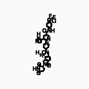 CN(Cc1ccc2c(c1F)CN(C1CCC(=O)NC1=O)C2=O)C1CCN(c2ncc(C(=O)Nc3ccc(OC(F)(F)Cl)cc3)cc2-c2ccn[nH]2)CC1